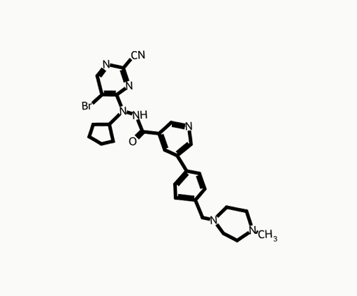 CN1CCN(Cc2ccc(-c3cncc(C(=O)NN(c4nc(C#N)ncc4Br)C4CCCC4)c3)cc2)CC1